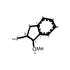 COC1c2ccccc2CC1I